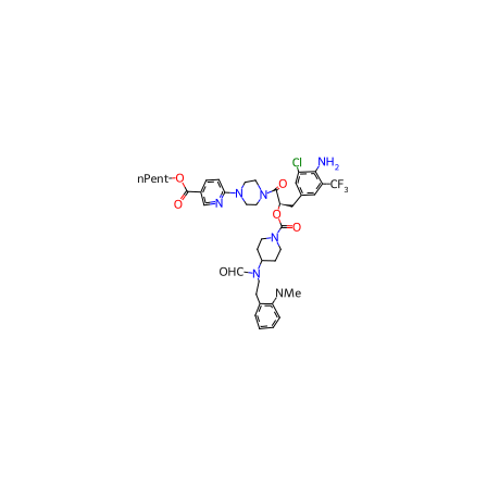 CCCCCOC(=O)c1ccc(N2CCN(C(=O)[C@@H](Cc3cc(Cl)c(N)c(C(F)(F)F)c3)OC(=O)N3CCC(N(C=O)CCc4ccccc4NC)CC3)CC2)nc1